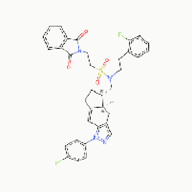 C[C@]12Cc3cnn(-c4ccc(F)cc4)c3C=C1CC[C@@H]2CN(CCc1ccccc1F)S(=O)(=O)CCN1C(=O)c2ccccc2C1=O